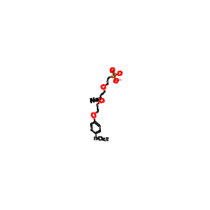 CCCCCCCCc1ccc(OCCOCCOCCS(=O)(=O)[O-])cc1.[Na+]